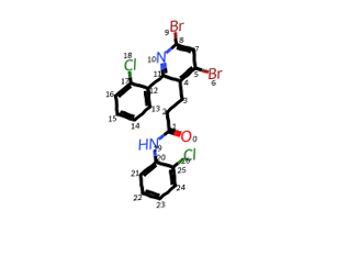 O=C(CCc1c(Br)cc(Br)nc1-c1ccccc1Cl)Nc1ccccc1Cl